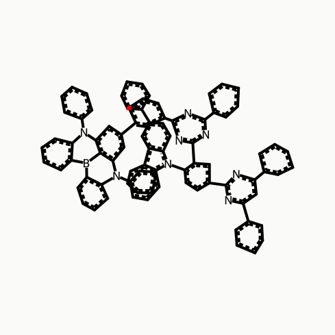 c1ccc(-c2ccc3c(c2)c2ccccc2n3-c2ccc(-c3nc(-c4ccccc4)cc(-c4ccccc4)n3)cc2-c2nc(-c3ccccc3)nc(-c3cccc(-c4cc5c6c(c4)N(c4ccccc4)c4ccccc4B6c4ccccc4N5c4ccccc4)c3)n2)cc1